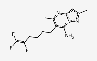 Cc1cc2nc(C)c(CCCCC(F)=C(F)F)c(N)n2n1